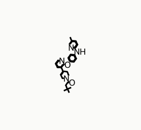 Cc1ccc(Nc2ccc(Oc3ncccc3C3=CCN(C(=O)CC(C)(C)C)CC3)cc2)nc1